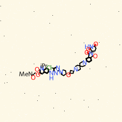 CNC(=O)COc1cc2cc(Nc3nc(N4CCC(OC5CC(N6CCC7(CCN(c8ccc9c(c8)C(=O)N([C@@H]8CCC(=O)NC8=O)C9=O)CC7)CC6)C5)CC4)ncc3Cl)ccc2n(C(C)C)c1=O